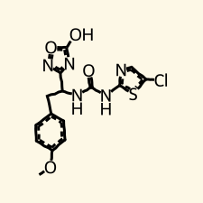 COc1ccc(CC(NC(=O)Nc2ncc(Cl)s2)c2noc(O)n2)cc1